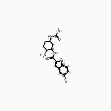 NC1CCC(NC(=O)O)CC1NC(=O)c1cc2cc(Cl)ccc2[nH]1